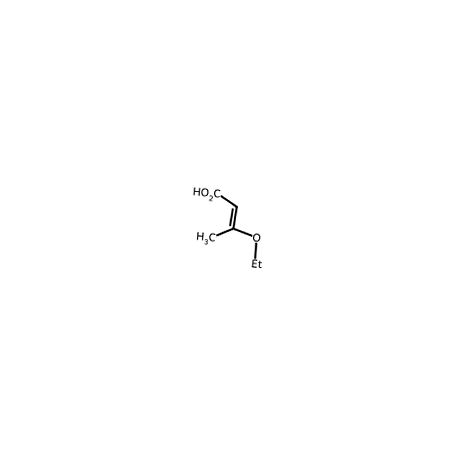 CCO/C(C)=C/C(=O)O